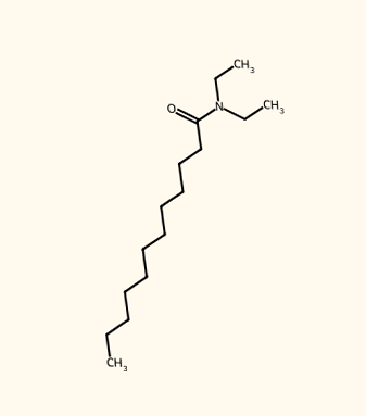 CCCCCCCCCCCC(=O)N(CC)CC